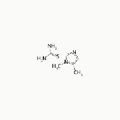 Cc1cncn1C.NC(N)=S